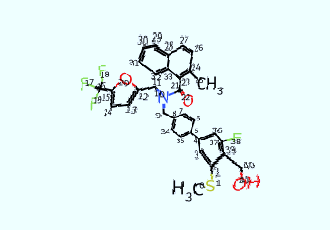 CSc1cc(-c2ccc(CN(Cc3ccc(C(F)(F)F)o3)C(=O)c3c(C)ccc4ccccc34)cc2)cc(F)c1CO